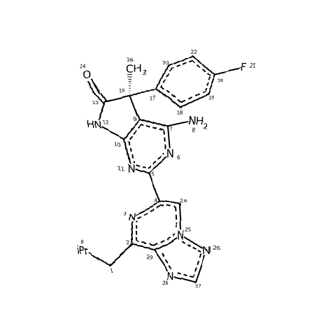 CC(C)Cc1nc(-c2nc(N)c3c(n2)NC(=O)[C@@]3(C)c2ccc(F)cc2)cn2ncnc12